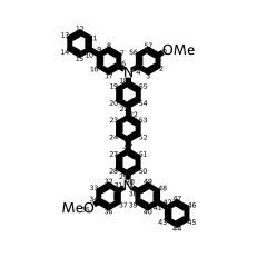 COc1ccc(N(c2ccc(-c3ccccc3)cc2)c2ccc(-c3ccc(-c4ccc(N(c5ccc(OC)cc5)c5ccc(-c6ccccc6)cc5)cc4)cc3)cc2)cc1